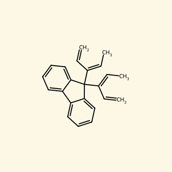 C=C/C(=C\C)C1(/C(C=C)=C/C)c2ccccc2-c2ccccc21